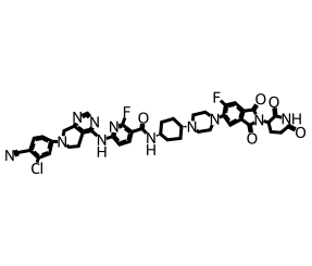 N#Cc1ccc(N2CCc3c(ncnc3Nc3ccc(C(=O)N[C@H]4CC[C@@H](N5CCN(c6cc7c(cc6F)C(=O)N(C6CCC(=O)NC6=O)C7=O)CC5)CC4)c(F)n3)C2)cc1Cl